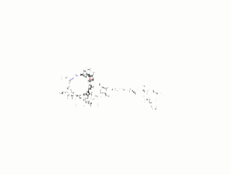 C=CC(=O)NCCN(CCNC(=O)C=C)C(=O)CCC(=O)NCCOCCOCCN1C(=O)CC(SCCC(=O)N(C)[C@@H](C)C(=O)O[C@H]2CC(=O)N(C)c3cc(cc(OC)c3Cl)C/C(C)=C/C=C/[C@@H](OC)[C@@]3(O)C[C@H](OC(=O)N3)[C@@H](C)[C@@H]3O[C@@]23C)C1=O